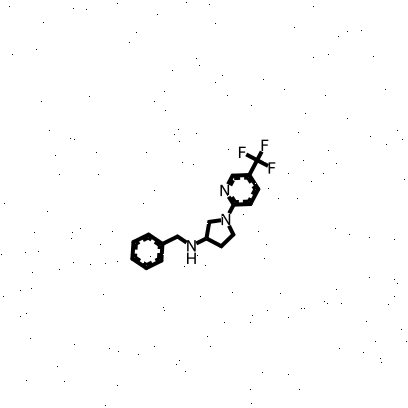 FC(F)(F)c1ccc(N2CCC(NCc3ccccc3)C2)nc1